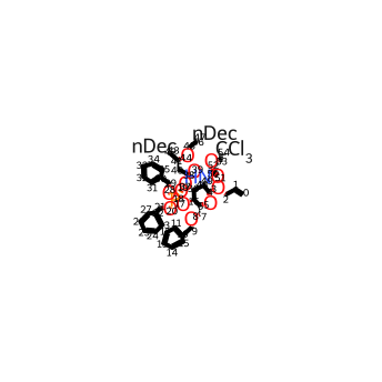 C=CCO[C@H]1O[C@H](COCc2ccccc2)[C@@H](OP(=O)(OCc2ccccc2)OCc2ccccc2)[C@H](OC(=O)C[C@@H](CCCCCCCCCCC)OCCCCCCCCCCCC)[C@H]1NC(=O)OCC(Cl)(Cl)Cl